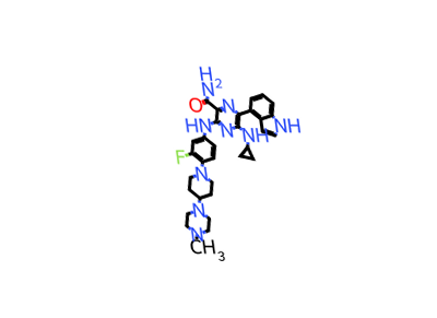 CN1CCN(C2CCN(c3ccc(Nc4nc(NC5CC5)c(-c5cccc6[nH]ccc56)nc4C(N)=O)cc3F)CC2)CC1